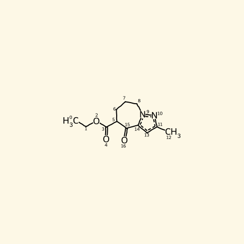 CCOC(=O)C1CCCn2nc(C)cc2C1=O